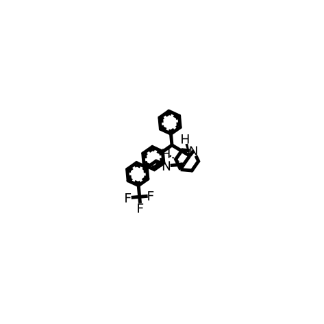 FC(F)(F)c1cccc(/C=N/[C@@H]2C3CCN(CC3)[C@H]2C(c2ccccc2)c2ccccc2)c1